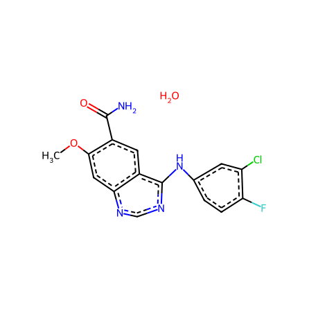 COc1cc2ncnc(Nc3ccc(F)c(Cl)c3)c2cc1C(N)=O.O